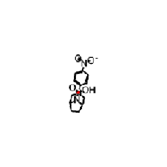 O=C(O)N1C2CCC1CN(c1ccc([N+](=O)[O-])cc1)C2